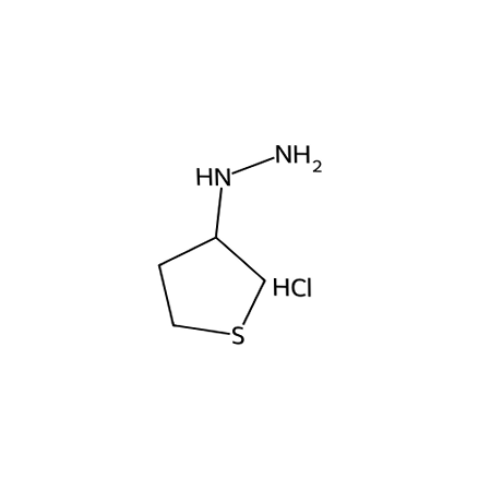 Cl.NNC1CCSC1